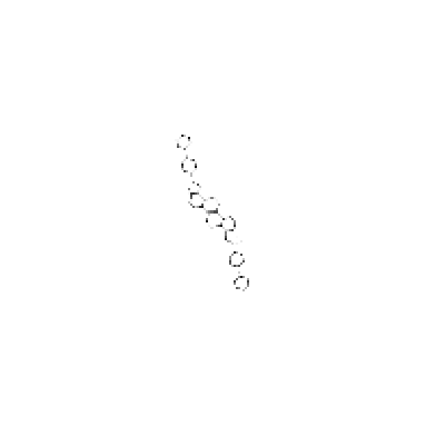 c1ccc(-c2ccc(-c3cc4c(ccc5c4ccc4c6ccc7sc(-c8ccc(-c9ccccc9)cc8)cc7c6ccc54)s3)cc2)cc1